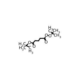 CC(C)(C)OOC(=O)CCCC(=O)OC(C)(C)C